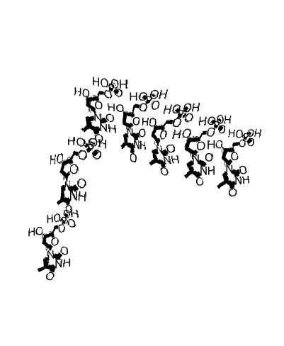 Cc1cn([C@H]2C[C@H](O)[C@@H](COP(=O)(O)O)O2)c(=O)[nH]c1=O.Cc1cn([C@H]2C[C@H](O)[C@@H](COP(=O)(O)O)O2)c(=O)[nH]c1=O.Cc1cn([C@H]2C[C@H](O)[C@@H](COP(=O)(O)O)O2)c(=O)[nH]c1=O.Cc1cn([C@H]2C[C@H](O)[C@@H](COP(=O)(O)O)O2)c(=O)[nH]c1=O.Cc1cn([C@H]2C[C@H](O)[C@@H](COP(=O)(O)O)O2)c(=O)[nH]c1=O.Cc1cn([C@H]2C[C@H](O)[C@@H](COP(=O)(O)O)O2)c(=O)[nH]c1=O.Cc1cn([C@H]2C[C@H](O)[C@@H](COP(=O)(O)O)O2)c(=O)[nH]c1=O